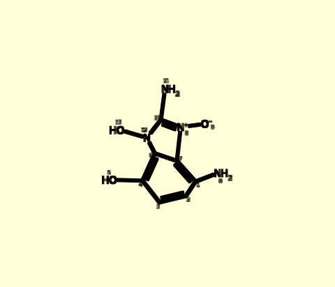 Nc1ccc(O)c2c1[n+]([O-])c(N)n2O